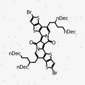 CCCCCCCCCCCCC(CCCCCCCCCC)CC1=CN2C(=O)C3=C4c5sc6cc(Br)sc6c5C(CC(CCCCCCCCCC)CCCCCCCCCCCC)=CN4C(=O)C3=C2c2sc3cc(Br)sc3c21